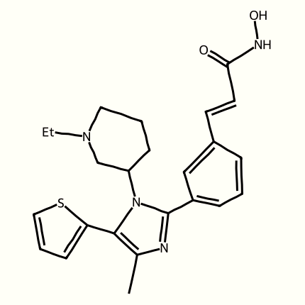 CCN1CCCC(n2c(-c3cccc(/C=C/C(=O)NO)c3)nc(C)c2-c2cccs2)C1